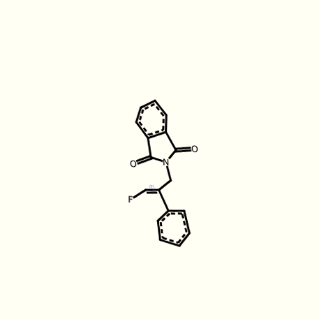 O=C1c2ccccc2C(=O)N1C/C(=C/F)c1ccccc1